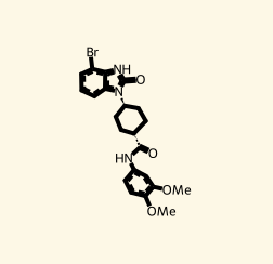 COc1ccc(NC(=O)[C@H]2CC[C@@H](n3c(=O)[nH]c4c(Br)cccc43)CC2)cc1OC